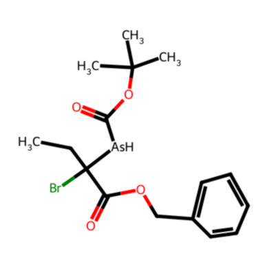 CCC(Br)([AsH]C(=O)OC(C)(C)C)C(=O)OCc1ccccc1